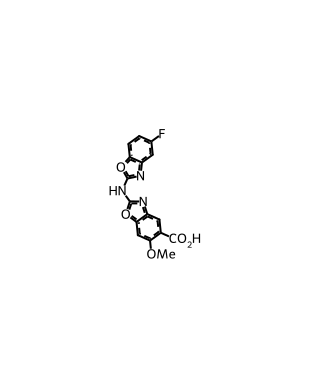 COc1cc2oc(Nc3nc4cc(F)ccc4o3)nc2cc1C(=O)O